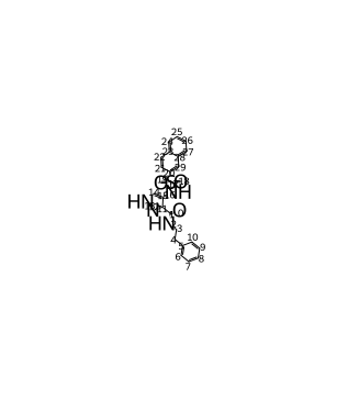 O=C(NCCc1ccccc1)c1n[nH]cc1NS(=O)(=O)c1ccc2ccccc2c1